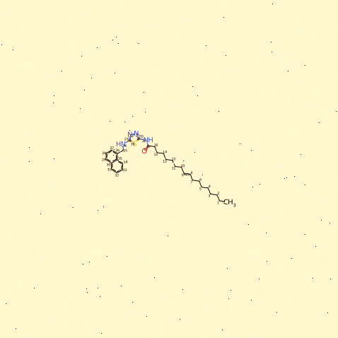 CCCCCCCCC=CCCCCCCCC(=O)Nc1nnc(NCc2cccc3ccccc23)s1